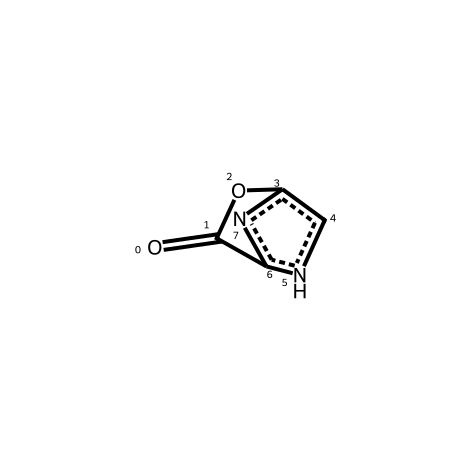 O=C1Oc2c[nH]c1n2